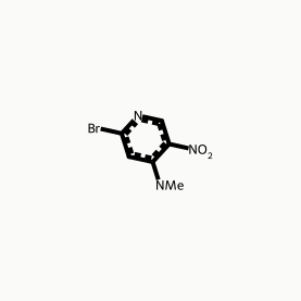 CNc1cc(Br)ncc1[N+](=O)[O-]